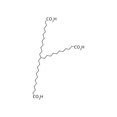 O=C(O)CCCCCCCCCCCC(CCCCCCCCCCCC(=O)O)CCCCCCCCCCC(=O)O